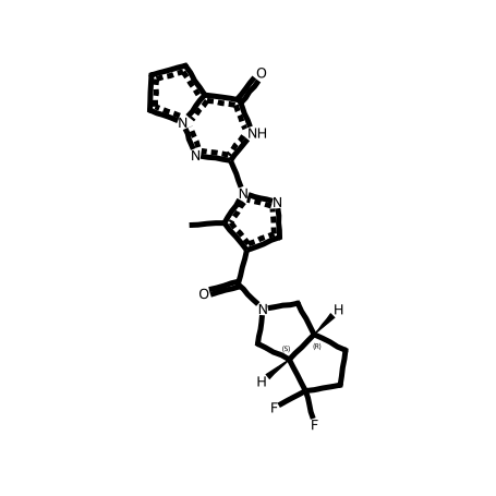 Cc1c(C(=O)N2C[C@@H]3CCC(F)(F)[C@@H]3C2)cnn1-c1nn2cccc2c(=O)[nH]1